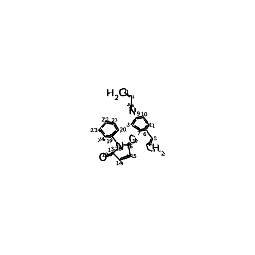 C=CC#N.C=Cc1ccccc1.O=C1C=CC(=O)N1c1ccccc1